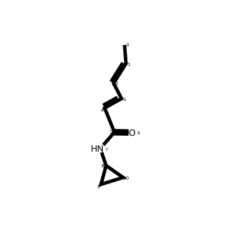 CC=CC=CC(=O)NC1CC1